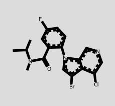 CC(C)N(C)C(=O)c1cc(F)ccc1-n1cc(Br)c2c(Cl)cncc21